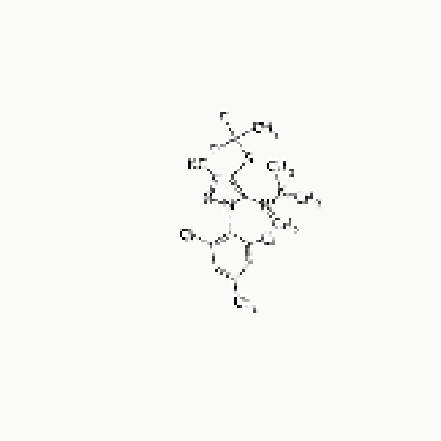 C=[N+](c1c(SC(C)(F)F)c(C#N)nn1-c1c(Cl)cc(C(F)(F)F)cc1Cl)N(C)C